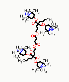 CCCCC(CCCOC(=O)CCC(=O)OCCCC(CCCC)(C(=O)OC1CC(C)(C)NC(C)(C)C1)C(=O)OC1CC(C)(C)NC(C)(C)C1)(COC1CC(C)(C)NC(C)(C)C1)C(=O)OC1CC(C)(C)NC(C)(C)C1